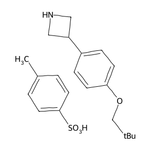 CC(C)(C)COc1ccc(C2CNC2)cc1.Cc1ccc(S(=O)(=O)O)cc1